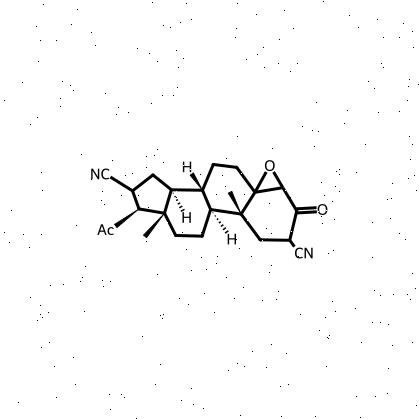 CC(=O)[C@H]1C(C#N)C[C@H]2[C@@H]3CCC45OC4C(=O)C(C#N)C[C@]5(C)[C@H]3CC[C@]12C